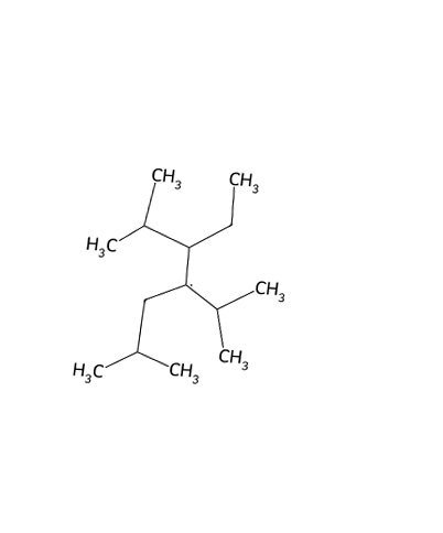 CCC([C](CC(C)C)C(C)C)C(C)C